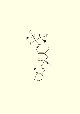 O=S(=O)(Cc1ccc(C(F)(C(F)(F)F)C(F)(F)F)cc1)c1ccc2c(c1)CCC2